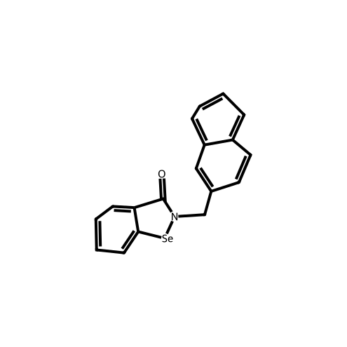 O=c1c2ccccc2[se]n1Cc1ccc2ccccc2c1